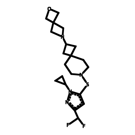 FC(F)c1cc(SN2CCC3(CC2)CC(N2CC4(COC4)C2)C3)n(C2CC2)n1